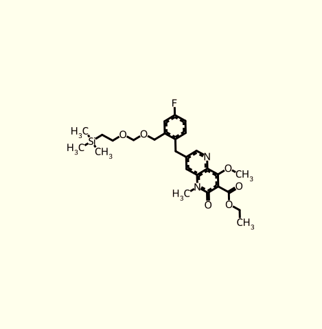 CCOC(=O)c1c(OC)c2ncc(Cc3ccc(F)cc3COCOCC[Si](C)(C)C)cc2n(C)c1=O